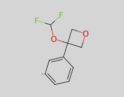 FC(F)OC1(c2c[c]ccc2)COC1